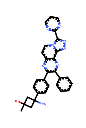 CC1(O)CC(N)(c2ccc(-c3nc4ccn5c(-c6ncccn6)nnc5c4nc3-c3ccccc3)cc2)C1